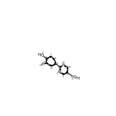 CCCCCCCCc1cnc(-c2ccc(O)c(F)c2)nc1